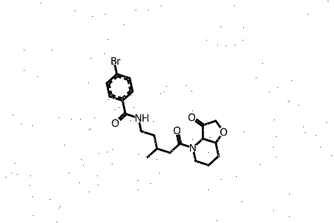 CC(CCNC(=O)c1ccc(Br)cc1)CC(=O)N1CCCC2OCC(=O)C21